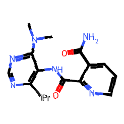 CC(C)c1ncnc(N(C)C)c1NC(=O)c1ncccc1C(N)=O